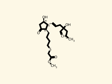 C=CC(O)(CC=C[C@H]1[C@H](O)CC(=O)[C@@H]1CCCCSCC(=O)OC)CCC